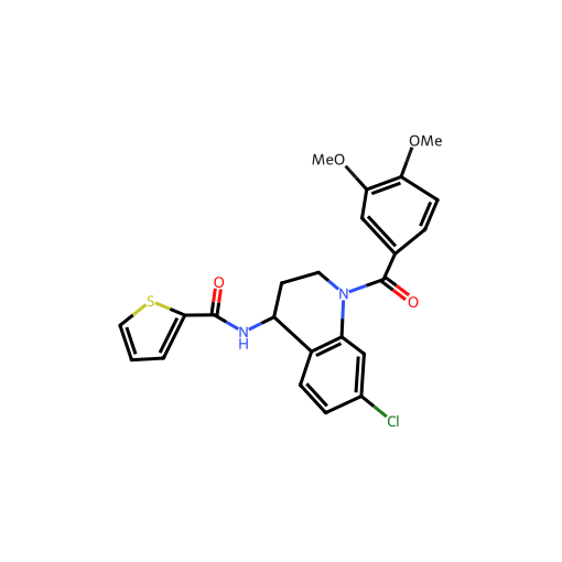 COc1ccc(C(=O)N2CCC(NC(=O)c3cccs3)c3ccc(Cl)cc32)cc1OC